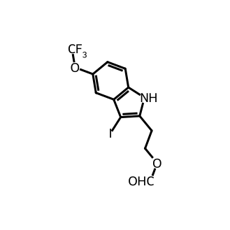 O=COCCc1[nH]c2ccc(OC(F)(F)F)cc2c1I